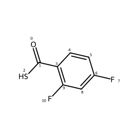 O=C(S)c1ccc(F)cc1F